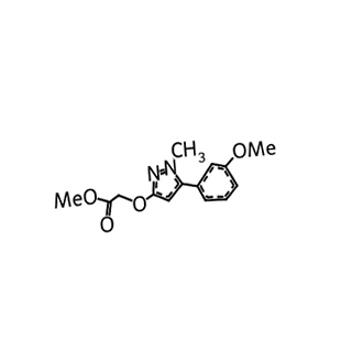 COC(=O)COc1cc(-c2cccc(OC)c2)n(C)n1